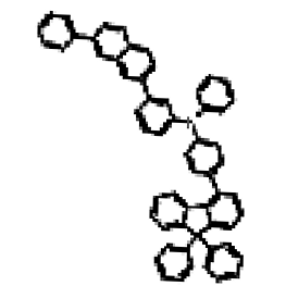 c1ccc(-c2ccc3ccc(-c4cccc(N(c5ccccc5)c5ccc(-c6cccc7c6-c6ccccc6C7(c6ccccc6)c6ccccc6)cc5)c4)cc3c2)cc1